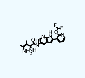 C/C(N)=C(\C)C(=N)C(=O)Nc1cnc2[nH]c(-c3cccnc3OC(F)F)cc2c1